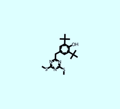 CSc1nc(Cc2cc(C(C)(C)C)c(O)c(C(C)(C)C)c2)nc(SC)n1